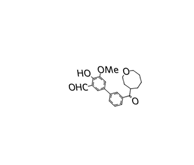 COc1cc(-c2cccc(C(=O)C3CCCCOCC3)c2)cc(C=O)c1O